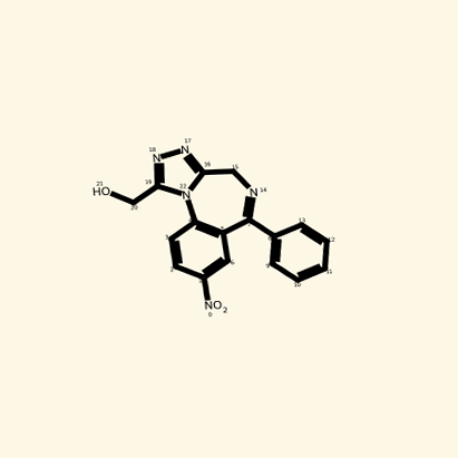 O=[N+]([O-])c1ccc2c(c1)C(c1ccccc1)=NCc1nnc(CO)n1-2